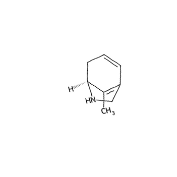 CC1=C2C=CC[C@@H]1NC2